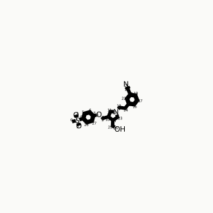 CS(=O)(=O)c1ccc(OCC2CN(CCc3cccc(C#N)c3)CC2CO)cc1